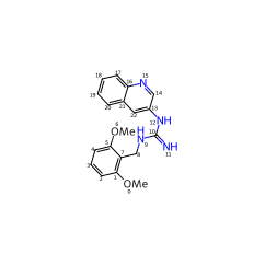 COc1cccc(OC)c1CNC(=N)Nc1cnc2ccccc2c1